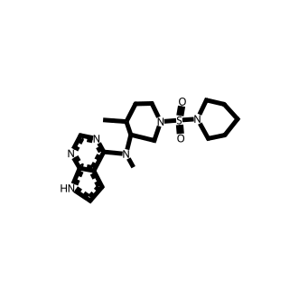 CC1CCN(S(=O)(=O)N2CCCCC2)CC1N(C)c1ncnc2[nH]ccc12